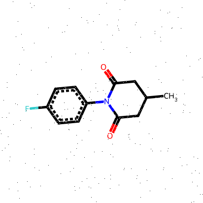 CC1CC(=O)N(c2ccc(F)cc2)C(=O)C1